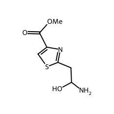 COC(=O)c1csc(CC(N)O)n1